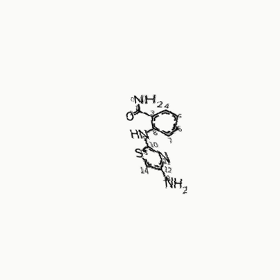 NC(=O)c1ccccc1Nc1nc(N)cs1